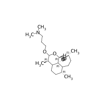 C[C@H]1C(OCCCN(C)C)O[C@@H]2O[C@]3(C)CCC4[C@H](C)CCC1[C@]42OO3